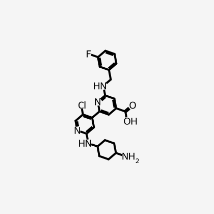 NC1CCC(Nc2cc(-c3cc(C(=O)O)cc(NCc4cccc(F)c4)n3)c(Cl)cn2)CC1